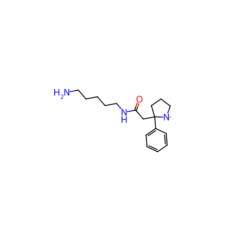 NCCCCCNC(=O)CC1(c2ccccc2)CCC[N]1